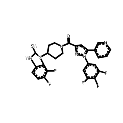 O=C(c1cc(-c2cccnc2)n(-c2cc(F)c(F)c(F)c2)n1)N1CCC(N2c3c(ccc(F)c3F)NC2S)CC1